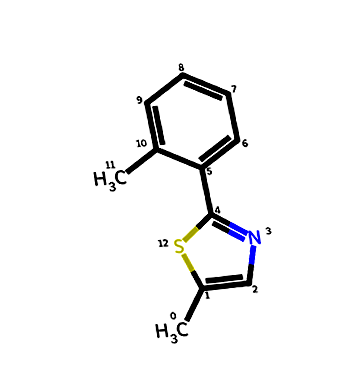 Cc1cnc(-c2ccccc2C)s1